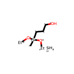 CCO[Si](C)(CCCO)OCC.[SiH4]